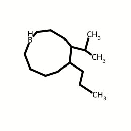 CCCC1CCCCBCCCC1C(C)C